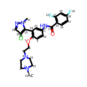 CC(=O)N1CCN(CCOc2ccc(NC(=O)c3ccc(F)cc3F)cc2-c2c(Cl)cnn2C)CC1